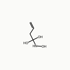 C=CCC(O)(O)NO